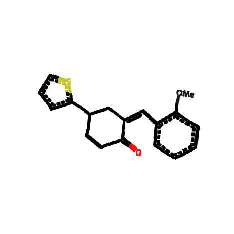 COc1ccccc1C=C1CC(c2cccs2)CCC1=O